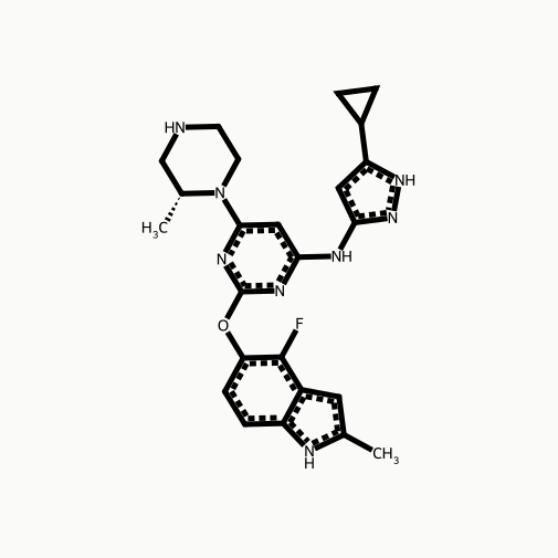 Cc1cc2c(F)c(Oc3nc(Nc4cc(C5CC5)[nH]n4)cc(N4CCNC[C@H]4C)n3)ccc2[nH]1